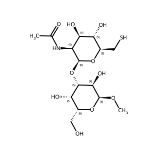 CO[C@H]1O[C@H](CO)[C@H](O)[C@H](O[C@@H]2O[C@H](CS)[C@@H](O)[C@H](O)[C@@H]2NC(C)=O)[C@H]1O